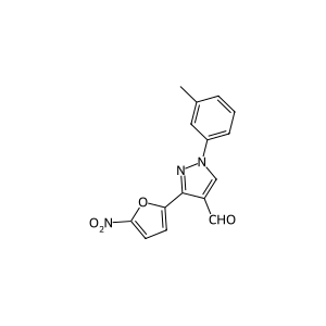 Cc1cccc(-n2cc(C=O)c(-c3ccc([N+](=O)[O-])o3)n2)c1